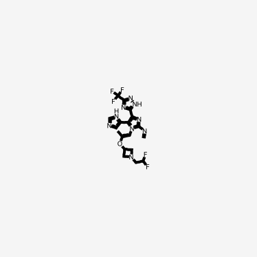 C=Nc1nc(-c2nc(C(F)(F)F)n[nH]2)c(-c2cnc[nH]2)n1/C=C(\C)OC1CN(CC(F)F)C1